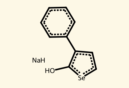 Oc1[se]ccc1-c1ccccc1.[NaH]